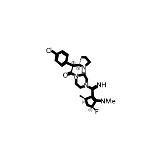 CNC1=C(C(=N)N2CCN(C(=O)[C@@H](c3ccc(Cl)cc3)[C@@H]3CCCN3)CC2)[C@H](C)C[C@@H]1F